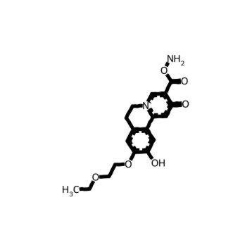 CCOCCOc1cc2c(cc1O)-c1cc(=O)c(C(=O)ON)cn1CC2